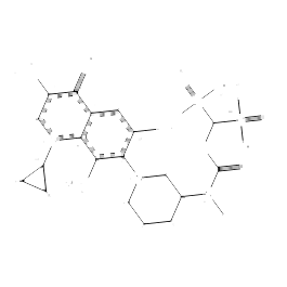 COc1c(N2CCCC(N(C)C(=O)OC(P(=O)(O)O)P(=O)(O)O)C2)c(F)cc2c(=O)c(C(=O)O)cn(C3CC3)c12